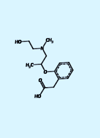 CC(CN(C)CCO)Oc1ccccc1CC(=O)O